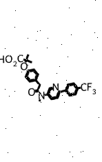 CN(C(=O)Cc1ccc(OC(C)(C)C(=O)O)cc1)c1ccc(-c2ccc(C(F)(F)F)cc2)nc1